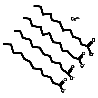 CCCCCCCCCCCC(=O)[O-].CCCCCCCCCCCC(=O)[O-].CCCCCCCCCCCC(=O)[O-].CCCCCCCCCCCC(=O)[O-].[Ge+4]